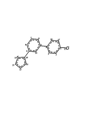 Clc1ccc(-c2cccc(-c3cccs3)c2)cc1